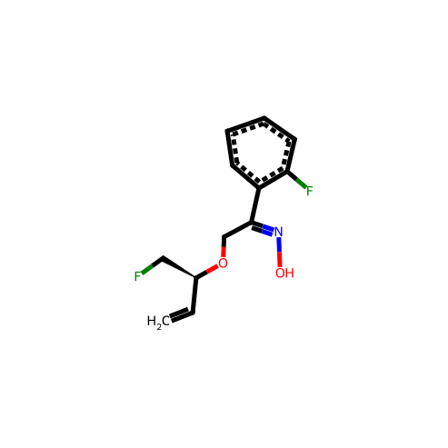 C=C[C@@H](CF)OCC(=NO)c1ccccc1F